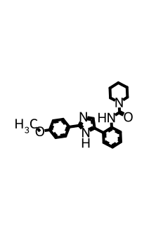 COc1ccc(-c2ncc(-c3ccccc3NC(=O)N3CCCCC3)[nH]2)cc1